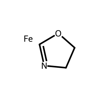 C1=NCCO1.[Fe]